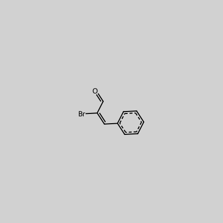 O=C/C(Br)=C\c1ccccc1